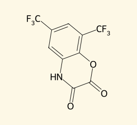 O=c1[nH]c2cc(C(F)(F)F)cc(C(F)(F)F)c2oc1=O